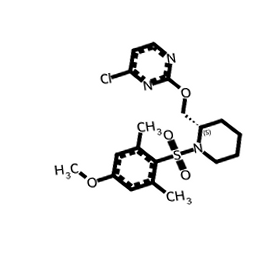 COc1cc(C)c(S(=O)(=O)N2CCCC[C@H]2COc2nccc(Cl)n2)c(C)c1